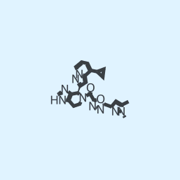 Cc1cc(-c2nnc(C(=O)N3CCc4[nH]cnc4[C@H]3c3cc4c(C5CC5)cccn4n3)o2)nn1C